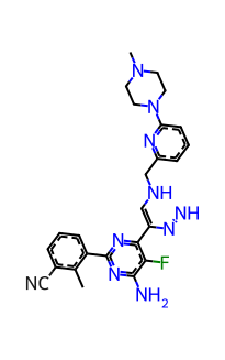 Cc1c(C#N)cccc1-c1nc(N)c(F)c(/C(=C/NCc2cccc(N3CCN(C)CC3)n2)N=N)n1